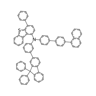 c1ccc(-c2ccc(N(c3ccc(-c4ccc(-c5cccc6ccccc56)cc4)cc3)c3cccc(-c4ccc5c(c4)C(c4ccccc4)(c4ccccc4)c4ccccc4-5)c3)c3c2sc2ccccc23)cc1